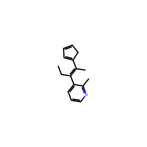 CC/C(=C(/C)C1=CC=CC1)c1cccnc1C